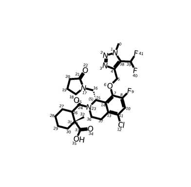 Cn1nnc(COc2c(F)cc(Cl)c3c2[C@@H](CN2CCCC2=O)N(C(=O)C2CCCC[C@@]2(C)C(=O)O)CC3)c1C(F)F